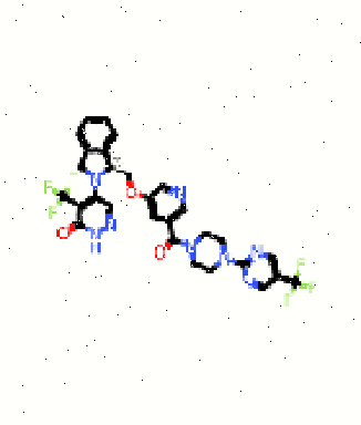 O=C(c1cncc(OC[C@@H]2c3ccccc3CN2c2cn[nH]c(=O)c2C(F)(F)F)c1)N1CCN(c2ncc(C(F)(F)F)cn2)CC1